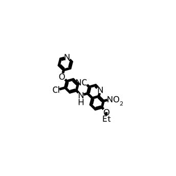 CCOc1ccc2c(Nc3ccc(Oc4ccncc4)c(Cl)c3)c(C#N)cnc2c1[N+](=O)[O-]